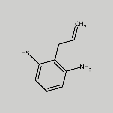 C=CCc1c(N)cccc1S